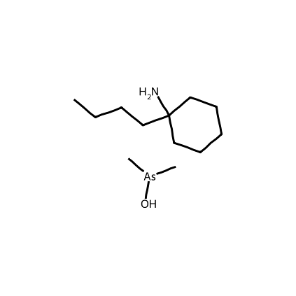 CCCCC1(N)CCCCC1.C[As](C)O